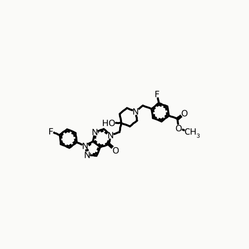 COC(=O)c1ccc(CN2CCC(O)(Cn3cnc4c(cnn4-c4ccc(F)cc4)c3=O)CC2)c(F)c1